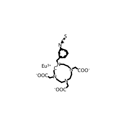 O=C([O-])CN1CCN(CC(=O)[O-])CCN(Cc2cccc(N=C=S)c2)CCN(CC(=O)[O-])CC1.[Eu+3]